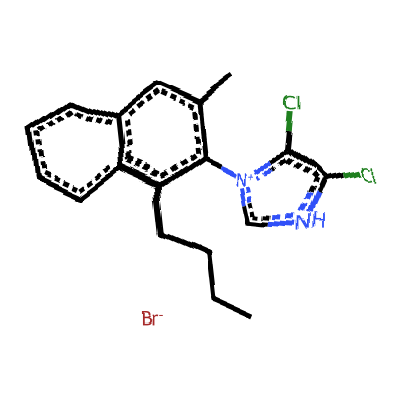 CCCCc1c(-[n+]2c[nH]c(Cl)c2Cl)c(C)cc2ccccc12.[Br-]